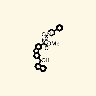 COC(=O)/C(=N\OC(=O)N1CCC(c2ccccc2)CC1)c1ccc2c(c1)-c1cc(C(O)c3cccc4ccccc34)ccc1C2